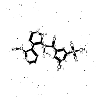 CCOc1ncccc1-c1ccnnc1N(C)C(=O)c1cc(C(F)(F)F)cc(S(C)(=O)=O)c1